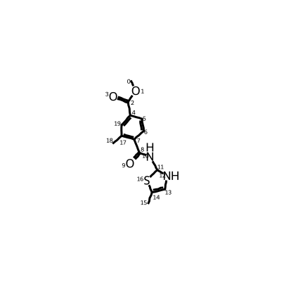 COC(=O)c1ccc(C(=O)NC2NC=C(C)S2)c(C)c1